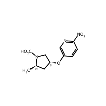 C[C@@H]1C[C@@H](Oc2ccc([N+](=O)[O-])nc2)CN1C(=O)O